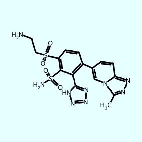 Cc1nnc2ccc(-c3ccc(S(=O)(=O)CCN)c(S(N)(=O)=O)c3-c3nnn[nH]3)cn12